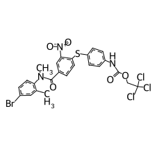 Cc1cc(Br)ccc1N(C)C(=O)c1ccc(Sc2ccc(NC(=O)OCC(Cl)(Cl)Cl)cc2)c([N+](=O)[O-])c1